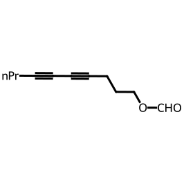 CCCC#CC#CCCCOC=O